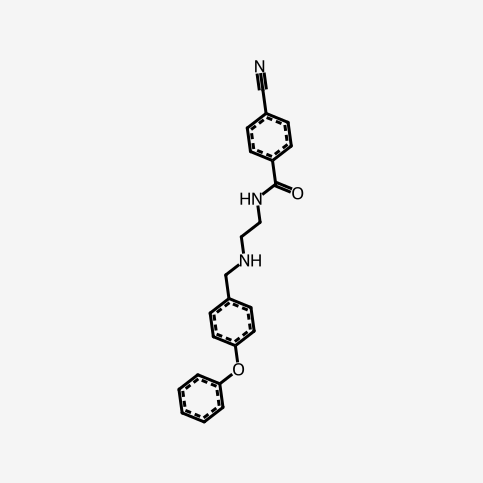 N#Cc1ccc(C(=O)NCCNCc2ccc(Oc3ccccc3)cc2)cc1